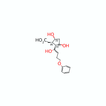 O=C(O)C[C@@H]1[C@H](C(O)=CCCOc2ccccc2)[C@H](O)C[C@@H]1O